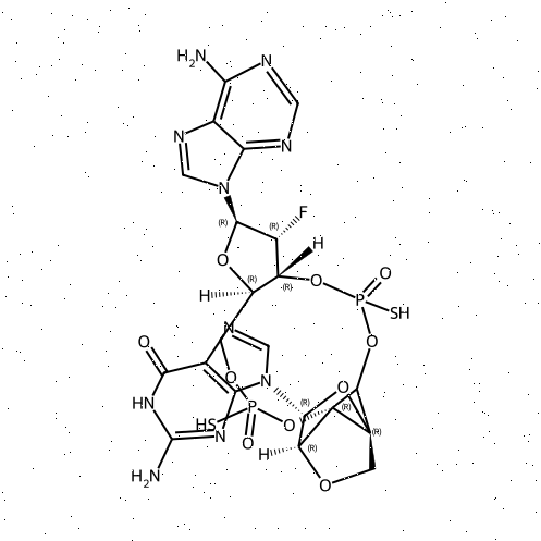 Nc1nc2c(ncn2[C@@H]2O[C@@]34CO[C@@H]2[C@]32OP(=O)(S)OC[C@H]3O[C@@H](n5cnc6c(N)ncnc65)[C@H](F)[C@@H]3OP(=O)(S)OC42)c(=O)[nH]1